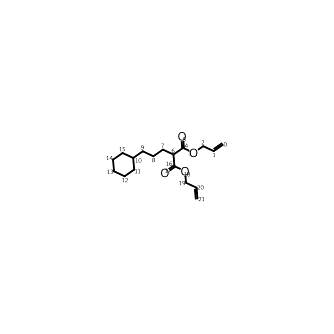 C=CCOC(=O)C(CCCC1CCCCC1)C(=O)OCC=C